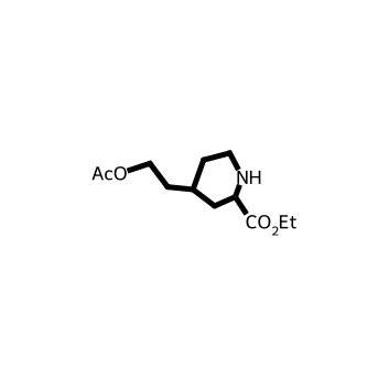 CCOC(=O)C1CC(CCOC(C)=O)CCN1